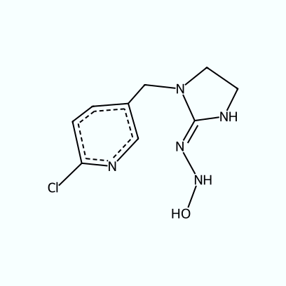 ON/N=C1\NCCN1Cc1ccc(Cl)nc1